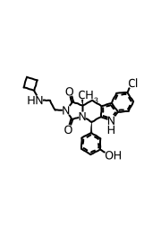 C[C@@]12Cc3c([nH]c4ccc(Cl)cc34)[C@@H](c3cccc(O)c3)N1C(=O)N(CCNC1CCC1)C2=O